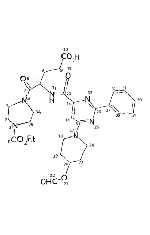 CCOC(=O)N1CCN(C(=O)C(CCC(=O)O)NC(=O)c2cc(N3CCC(OC=O)CC3)nc(-c3ccccc3)n2)CC1